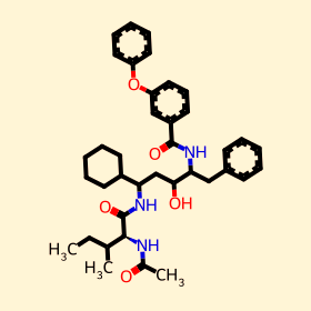 CCC(C)[C@H](NC(C)=O)C(=O)NC(CC(O)C(Cc1ccccc1)NC(=O)c1cccc(Oc2ccccc2)c1)C1CCCCC1